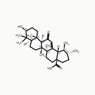 C[C@H]1[C@H](C)CC[C@]2(C(=O)O)CC[C@]3(C)C(=CC(=O)[C@@H]4[C@@]5(C)CC[C@H](O)C(C)(C)[C@@H]5CC[C@]43C)[C@H]12